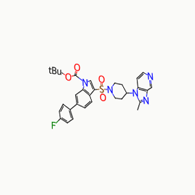 Cc1nc2cnccc2n1C1CCN(S(=O)(=O)c2cn(C(=O)OC(C)(C)C)c3cc(-c4ccc(F)cc4)ccc23)CC1